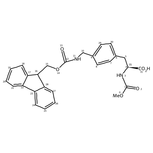 COC(=O)N[C@@H](Cc1ccc(CNC(=O)OCC2c3ccccc3-c3ccccc32)cc1)C(=O)O